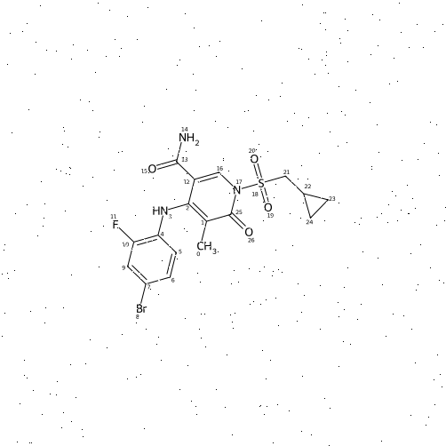 Cc1c(Nc2ccc(Br)cc2F)c(C(N)=O)cn(S(=O)(=O)CC2CC2)c1=O